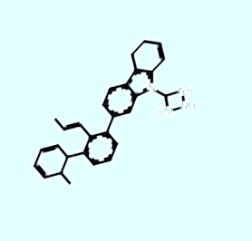 C/C=C/c1c(-c2ccc3c4c(n(C5NNN5)c3c2)C=CCC4)cccc1C1C=CC=CC1C